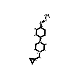 NN=NC1CCC(N2CCN(CC3CC3)CC2)CC1